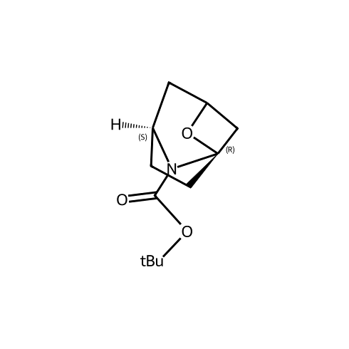 CC(C)(C)OC(=O)N1[C@H]2CC[C@@]13CC(C2)O3